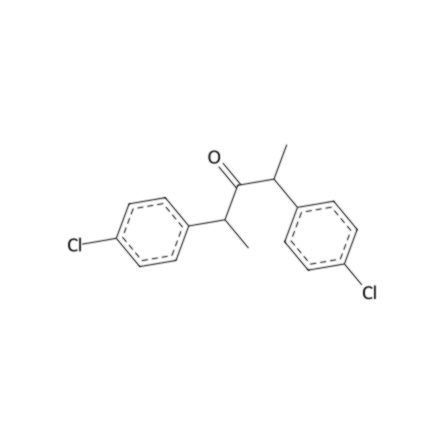 CC(C(=O)C(C)c1ccc(Cl)cc1)c1ccc(Cl)cc1